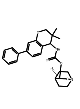 CC1(C)COc2cc(-c3ccccc3)ccc2C1NC(=O)O[C@H]1CN2CCC1CC2